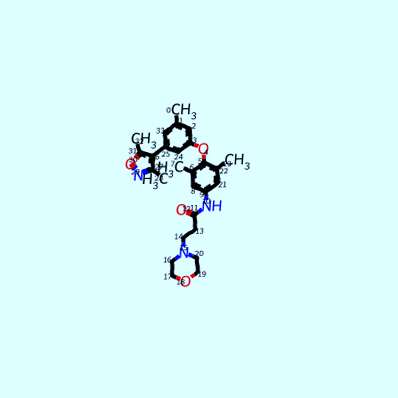 Cc1cc(Oc2c(C)cc(NC(=O)CCN3CCOCC3)cc2C)cc(-c2c(C)noc2C)c1